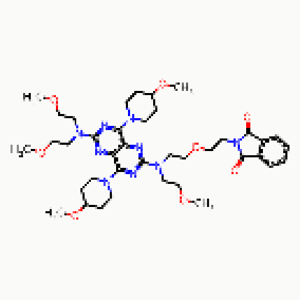 COCCN(CCOC)c1nc(N2CCC(OC)CC2)c2nc(N(CCOC)CCOCCN3C(=O)c4ccccc4C3=O)nc(N3CCC(OC)CC3)c2n1